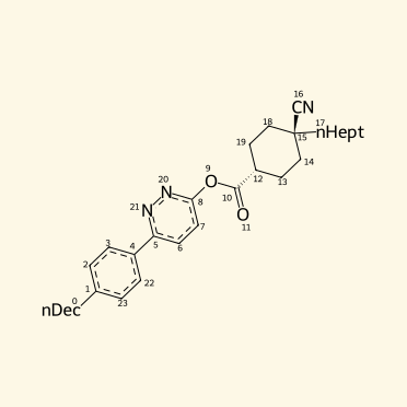 CCCCCCCCCCc1ccc(-c2ccc(OC(=O)[C@H]3CC[C@@](C#N)(CCCCCCC)CC3)nn2)cc1